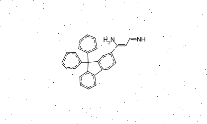 N=C/C=C(\N)c1ccc2c(c1)C(c1ccccc1)(c1ccccc1)c1ccccc1-2